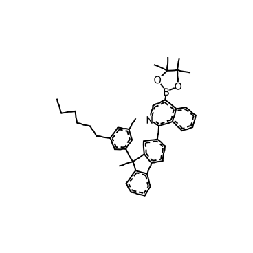 CCCCCCc1cc(C)cc(C2(C)c3ccccc3-c3ccc(-c4ncc(B5OC(C)(C)C(C)(C)O5)c5ccccc45)cc32)c1